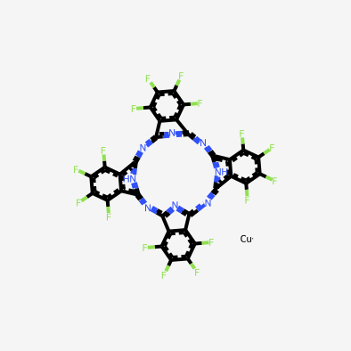 Fc1c(F)c(F)c2c(c1F)-c1nc-2nc2[nH]c(nc3nc(nc4[nH]c(n1)c1c(F)c(F)c(F)c(F)c41)-c1c(F)c(F)c(F)c(F)c1-3)c1c(F)c(F)c(F)c(F)c21.[Cu]